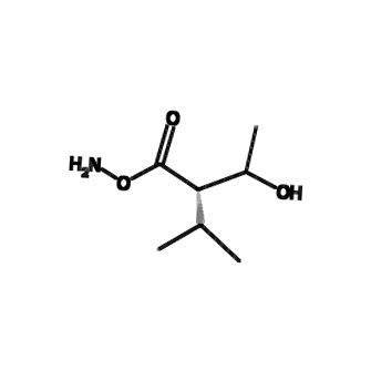 CC(C)[C@H](C(=O)ON)C(C)O